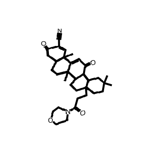 CC1(C)CCC2(CCC(=O)N3CCOCC3)CCC3C(C(=O)C=C4C5(C)C=C(C#N)C(=O)CC5CCC43C)C2C1